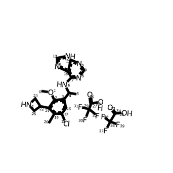 COc1c(C(C)Nc2ncnc3[nH]cnc23)cc(Cl)c(C)c1C1CNC1.O=C(O)C(F)(F)F.O=C(O)C(F)(F)F